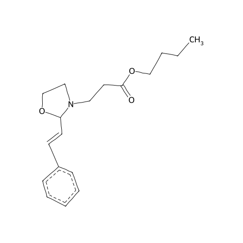 CCCCOC(=O)CCN1CCOC1/C=C/c1ccccc1